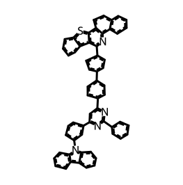 c1ccc(-c2nc(-c3ccc(-c4ccc(-c5nc6c7ccccc7ccc6c6sc7ccccc7c56)cc4)cc3)cc(-c3cccc(-n4c5ccccc5c5ccccc54)c3)n2)cc1